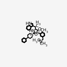 Cc1ccc(CN(C)C)cc1NC(=O)[C@H](NC(=O)N1CCC(c2ccccc2)CC1)[C@H](C)c1c[nH]c2ccccc12